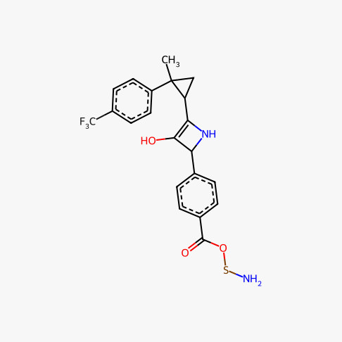 CC1(c2ccc(C(F)(F)F)cc2)CC1C1=C(O)C(c2ccc(C(=O)OSN)cc2)N1